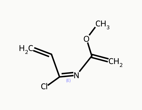 C=C/C(Cl)=N\C(=C)OC